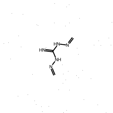 C=NNC(=N)NN=C